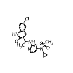 CC(Nc1nccc(N(C2CC2)S(C)(=O)=O)n1)c1cc2cc(Cl)ccc2[nH]c1=O